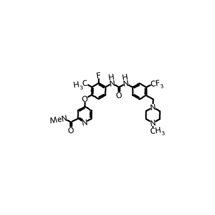 CNC(=O)c1cc(Oc2ccc(NC(=O)Nc3ccc(CN4CCN(C)CC4)c(C(F)(F)F)c3)c(F)c2C)ccn1